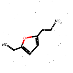 N#CCc1ccc(CC[N+](=O)[O-])o1